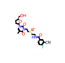 Cc1cn([C@H]2CC[C@@H](CO)O2)c(=O)n(CC[S+]([O-])CCNC(=O)c2ccc(F)c(C#N)c2)c1=O